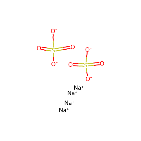 O=S(=O)([O-])[O-].O=S(=O)([O-])[O-].[Na+].[Na+].[Na+].[Na+]